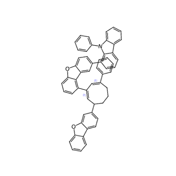 C1=C(/c2ccccc2)CCCC(c2ccc3c(c2)oc2ccccc23)\C=C/1c1cccc2oc3ccc(-c4cccc5c6ccccc6n(-c6ccccc6)c45)cc3c12